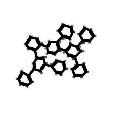 c1ccc(-c2cc(-c3ccccc3-c3ccc(-c4cc(-c5ccccc5)nc(-c5ccccc5)n4)c(-c4ccccc4)c3)nc(-c3ccccc3)n2)cc1